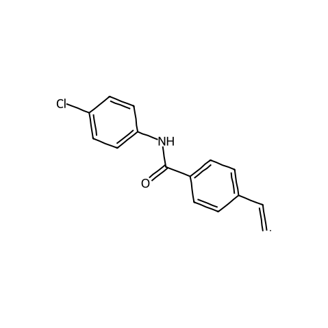 [CH]=Cc1ccc(C(=O)Nc2ccc(Cl)cc2)cc1